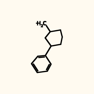 [CH2]C1CCCC(c2ccccc2)C1